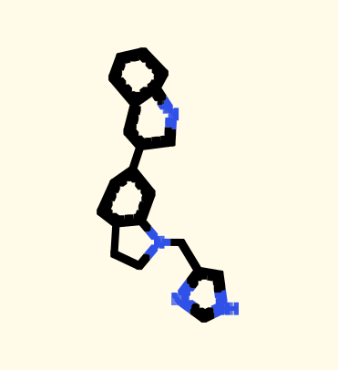 c1ccc2ncc(-c3ccc4c(c3)N(Cc3c[nH]cn3)CC4)cc2c1